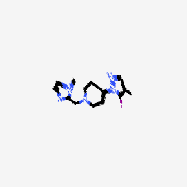 Cc1cnn(C2CCN(Cc3nccn3C)CC2)c1I